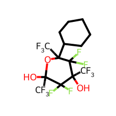 OC1(C(F)(F)F)OC(C2CCCCC2)(C(F)(F)F)C(F)(F)C(O)(C(F)(F)F)C1(F)F